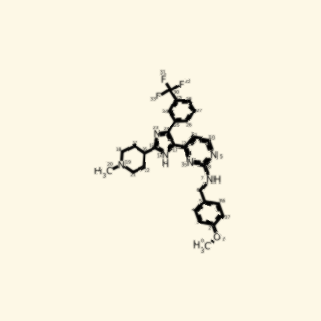 COc1ccc(CNc2nccc(-c3[nH]c(C4CCN(C)CC4)nc3-c3cccc(C(F)(F)F)c3)n2)cc1